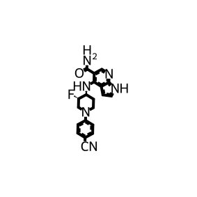 N#Cc1ccc(N2CC[C@H](Nc3c(C(N)=O)cnc4[nH]ccc34)[C@@H](F)C2)cc1